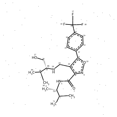 CC(C)[C@H](C)NC(=O)c1noc(-c2ccc(C(F)(F)F)cc2)c1CN[C@@H](CO)C(C)C